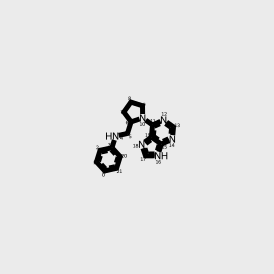 c1ccc(NCC2CCCN2c2ncnc3[nH]cnc23)cc1